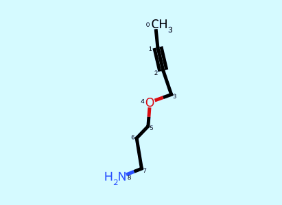 CC#CCOCCCN